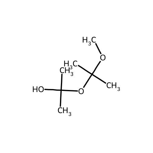 COC(C)(C)OC(C)(C)O